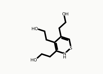 OCCC1=CSNC(CCO)=C1CCO